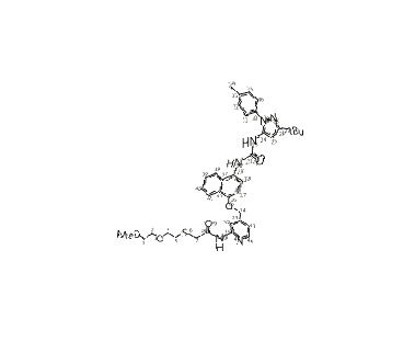 COCCOCCSCC(=O)Nc1cc(COc2ccc(NC(=O)Nc3cc(C(C)(C)C)nn3-c3ccc(C)cc3)c3ccccc23)ccn1